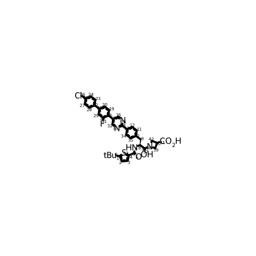 CC(C)(C)c1ccc(C(=O)N[C@@H](Cc2ccc(-c3ncc(-c4ccc(-c5ccc(Cl)cc5)cc4F)cn3)cc2)C(O)N2CC(C(=O)O)C2)s1